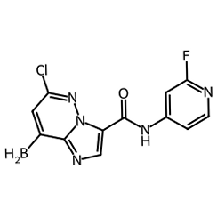 Bc1cc(Cl)nn2c(C(=O)Nc3ccnc(F)c3)cnc12